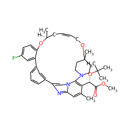 COC(=O)[C@@H](OC(C)(C)C)c1c(C)cc2nc3cn2c1N1CCC(C)(CC1)OC/C=C\C[C@H](C)Oc1ccc(F)cc1-c1cccc-3c1